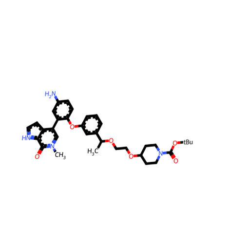 CC(OCCOC1CCN(C(=O)OC(C)(C)C)CC1)c1cccc(Oc2ccc(N)cc2-c2cn(C)c(=O)c3[nH]ccc23)c1